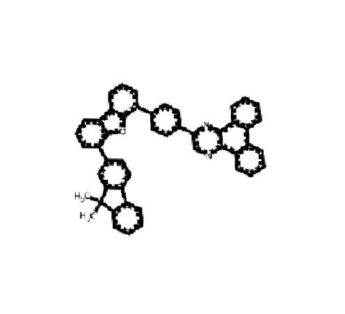 CC1(C)c2ccccc2-c2ccc(-c3cccc4c3oc3c(-c5ccc(-c6cnc7c8ccccc8c8ccccc8c7n6)cc5)cccc34)cc21